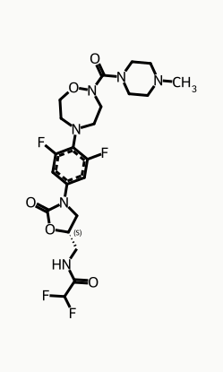 CN1CCN(C(=O)N2CCN(c3c(F)cc(N4C[C@H](CNC(=O)C(F)F)OC4=O)cc3F)CCO2)CC1